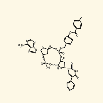 Cc1ccc(C(=O)Oc2ccc(CSP3(=O)OC[C@@H]4C[C@@H](OP(=O)(O)OC[C@H]5O[C@@H](n6cc(-c7ccccc7)c(=O)[nH]c6=O)C[C@@H]5O3)[C@H](n3cnc5c(N)ncnc53)O4)cc2)cc1